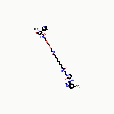 CN1C(=O)C[C@H](C(=O)NCCOCCOCCNC(=O)CCCCCCCCC(=O)NCCN2CC[C@H](Nc3ncnc4ccc(C(F)(F)F)cc34)C2=O)[C@H]1c1cccnc1